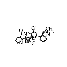 BC1(B)c2ncccc2C(=O)N1Cc1c(Cl)cc(-c2cccc3nn(C)cc23)cc1Cl